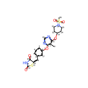 Cc1c(Oc2cccc(/C=C3/SC(=O)NC3=O)c2)ncnc1OC1CCN(S(C)(=O)=O)CC1